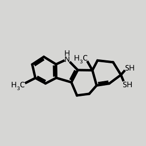 Cc1ccc2[nH]c3c(c2c1)CCC1=CC(S)(S)CCC13C